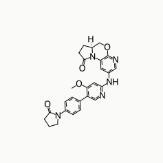 COc1cc(Nc2cnc3c(c2)N2C(=O)CC[C@H]2CO3)ncc1-c1ccc(N2CCCC2=O)cc1